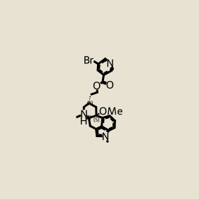 CO[C@]12C[C@@H](CCOC(=O)c3cncc(Br)c3)CN(C)[C@@H]1Cc1cn(C)c3cccc2c13